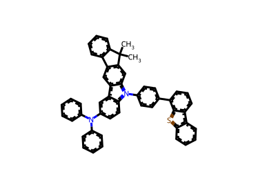 CC1(C)c2ccccc2-c2cc3c4cc(N(c5ccccc5)c5ccccc5)ccc4n(-c4ccc(-c5cccc6c5sc5ccccc56)cc4)c3cc21